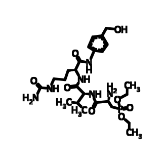 CCOP(=O)(C[C@H](N)C(=O)N[C@H](C(=O)N[C@@H](CCCNC(N)=O)C(=O)Nc1ccc(CO)cc1)C(C)C)OCC